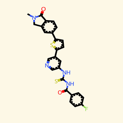 CN1Cc2cc(-c3ccc(-c4cncc(NC(=S)NC(=O)c5ccc(F)cc5)c4)s3)ccc2C1=O